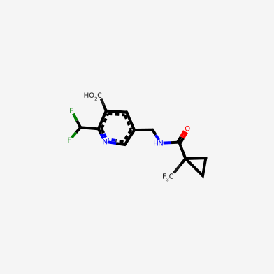 O=C(O)c1cc(CNC(=O)C2(C(F)(F)F)CC2)cnc1C(F)F